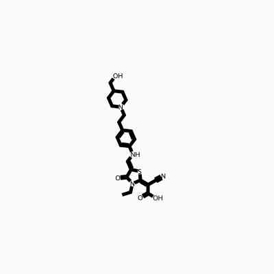 CCn1c(=C(C#N)C(=O)O)sc(=CNc2ccc(CCN3CCC(CO)CC3)cc2)c1=O